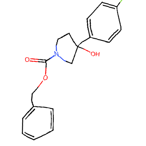 O=C(OCc1ccccc1)N1CCC(O)(c2ccc(F)cc2)C1